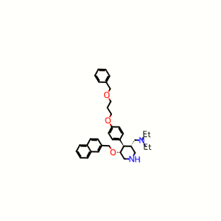 CCN(CC)C[C@@H]1CNC[C@H](OCc2ccc3ccccc3c2)[C@H]1c1ccc(OCCCOCc2ccccc2)cc1